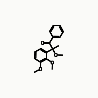 COc1cccc(C(C)(OC)C(=O)c2ccccc2)c1OC